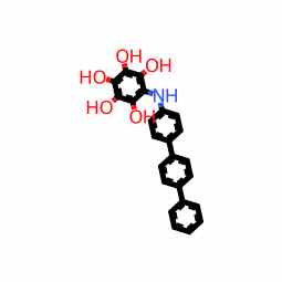 Oc1c(O)c(O)c(Nc2ccc(-c3ccc(-c4ccccc4)cc3)cc2)c(O)c1O